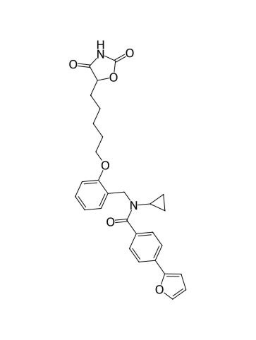 O=C1NC(=O)C(CCCCCOc2ccccc2CN(C(=O)c2ccc(-c3ccco3)cc2)C2CC2)O1